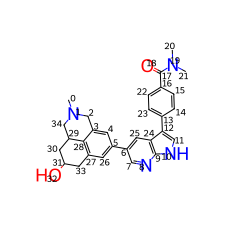 CN1Cc2cc(-c3cnc4[nH]cc(-c5ccc(C(=O)N(C)C)cc5)c4c3)cc3c2C(CC(O)C3)C1